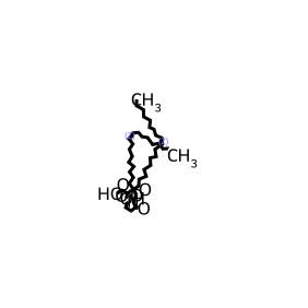 CCCCCCCC/C=C\CCCCCCCC(=O)C(ON1C(=O)CCC1=O)(C(=O)CCCCCCC/C=C\CCCCCCCC)C(O)CO